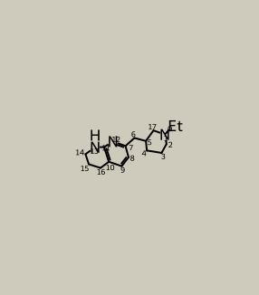 [CH2]CN1CCCC(Cc2ccc3c(n2)NCCC3)C1